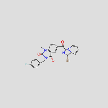 Cn1c(=O)n(Cc2ccc(F)cc2)c(=O)c2cc(C(=O)c3nc(Br)c4ccccn34)ccc21